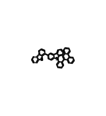 c1ccc(-n2c3ccccc3c3cc(-c4cccc5c4sc4ccccc45)ccc32)c(-c2cc3ccccc3c3ccccc23)c1